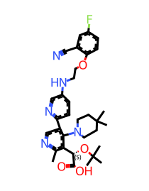 Cc1ncc(-c2ccc(NCCOc3ccc(F)cc3C#N)cn2)c(N2CCC(C)(C)CC2)c1[C@H](OC(C)(C)C)C(=O)O